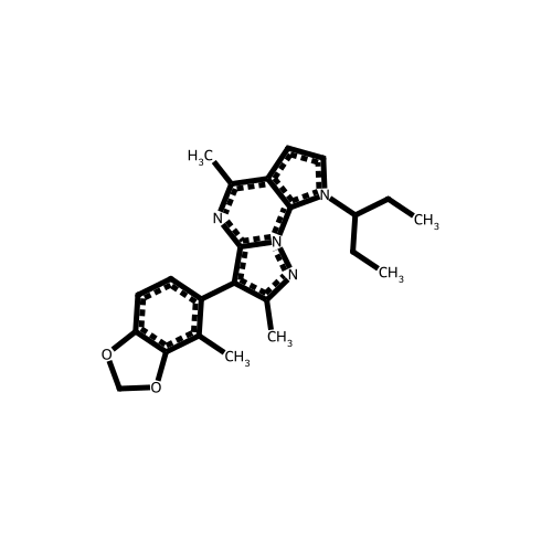 CCC(CC)n1ccc2c(C)nc3c(-c4ccc5c(c4C)OCO5)c(C)nn3c21